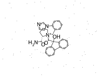 NC(=O)[C@@H]1CCC[N+]1(Cc1ccccc1-n1ccnc1)C(=O)C1(O)c2ccccc2-c2ccccc21